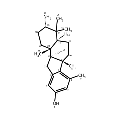 Cc1cc(O)cc2c1[C@@]1(C)CC[C@@H]3C(C)(C)[C@@H](N)CC[C@@]3(C)[C@@H]1C2